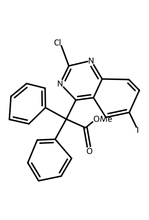 COC(=O)C(c1ccccc1)(c1ccccc1)c1nc(Cl)nc2ccc(I)cc12